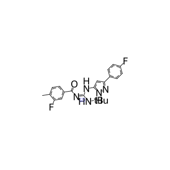 Cc1ccc(C(=O)/N=C(\Nc2cc(-c3ccc(F)cc3)n[nH]2)NC(C)(C)C)cc1F